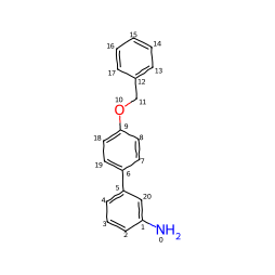 Nc1cccc(-c2ccc(OCc3ccccc3)cc2)c1